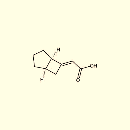 O=C(O)C=C1C[C@H]2CCC[C@@H]12